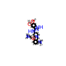 COc1cc2[nH]nc(NC3CCN(Cc4c(OCCN(C)C)cccc4N(C)C)CC3)c2cc1OC